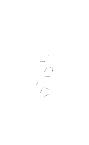 CCOC(=O)c1cccc(-n2ccc3cccnc32)c1